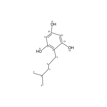 CC(C)CCCc1c(O)cc(O)cc1O